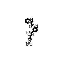 Cc1ccc(C2N=C(C3CN(C(=O)N(C)C)C3)ON2)cc1NC(=O)c1cnc2ccccn12